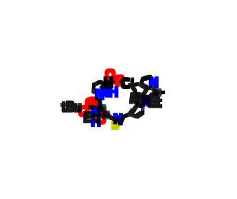 CCO[C@@H]1c2nc(cs2)-c2ccc3c(c2)c(c(-c2cccnc2[C@H](C)OC)n3CC)CC(C)(C)COC(=O)[C@@H]2CCCN(N2)C(=O)[C@H]1NC(=O)OC(C)(C)C